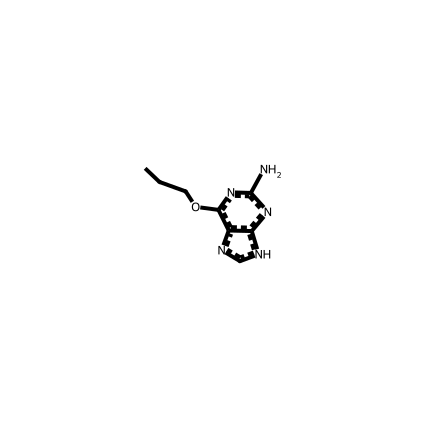 CCCOc1nc(N)nc2[nH]cnc12